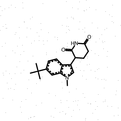 Cn1cc(C2CCC(=O)NC2=O)c2ccc(C(C)(C)C)cc21